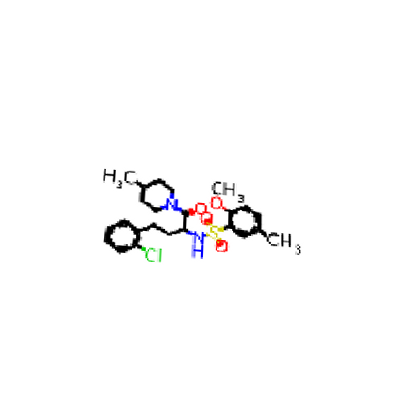 COc1ccc(C)cc1S(=O)(=O)NC(CCc1ccccc1Cl)C(=O)N1CCC(C)CC1